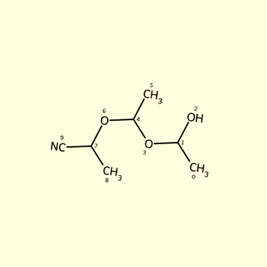 CC(O)OC(C)OC(C)C#N